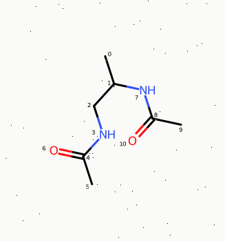 C[C](CNC(C)=O)NC(C)=O